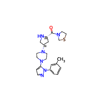 Cc1cccc(-n2nccc2N2CCN([C@@H]3CN[C@H](C(=O)N4CCSC4)C3)CC2)c1